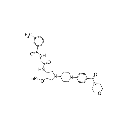 CCCOC1CN(C2CCN(c3ccc(C(=O)N4CCOCC4)cc3)CC2)CC1NC(=O)CNC(=O)c1cccc(C(F)(F)F)c1